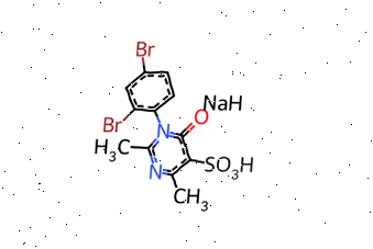 Cc1nc(C)n(-c2ccc(Br)cc2Br)c(=O)c1S(=O)(=O)O.[NaH]